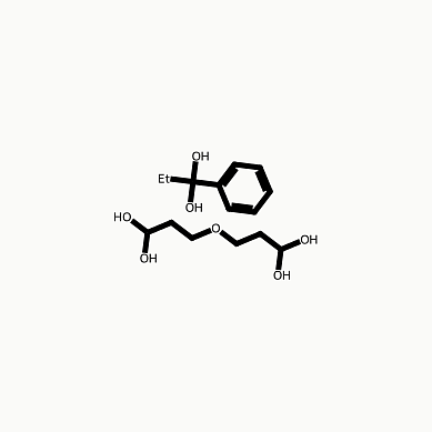 CCC(O)(O)c1ccccc1.OC(O)CCOCCC(O)O